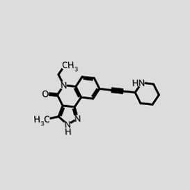 CCn1c(=O)c2c(C)[nH]nc2c2cc(C#CC3CCCCN3)ccc21